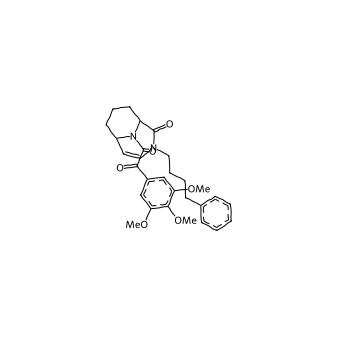 COc1cc(C(=O)C(=O)N2C3C=CN(CCCCc4ccccc4)C(=O)C2CCC3)cc(OC)c1OC